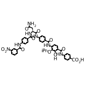 CC(C)Oc1c(NC(=O)c2ccc(NC(=O)[C@H](CC(N)=O)NC(=O)c3ccc(NC(=O)c4cccc([N+](=O)[O-])c4)cc3)cc2)ccc(C(=O)Nc2ccc(C(=O)O)cc2)c1O